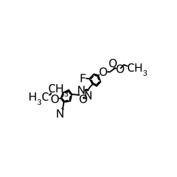 CCOC(=O)COc1ccc(-c2noc(-c3ccc(OC(C)C)c(C#N)c3)n2)c(F)c1